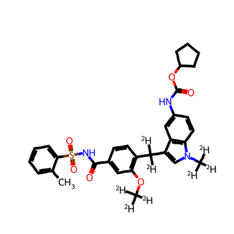 [2H]C([2H])([2H])Oc1cc(C(=O)NS(=O)(=O)c2ccccc2C)ccc1C([2H])([2H])c1cn(C([2H])([2H])[2H])c2ccc(NC(=O)OC3CCCC3)cc12